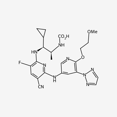 COCCOc1ncc(Nc2nc(N[C@@H](C3CC3)[C@H](C)NC(=O)O)c(F)cc2C#N)cc1-n1nccn1